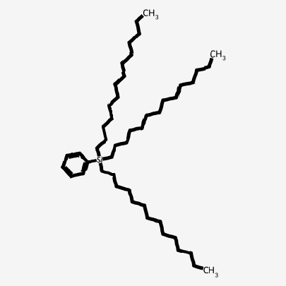 CCCCCCCCCCCCCC[Si](CCCCCCCCCCCCCC)(CCCCCCCCCCCCCC)c1ccccc1